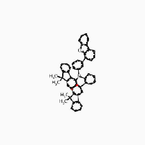 CC1(C)c2ccccc2-c2cc(-c3ccccc3N(c3cccc(-c4cccc5c4oc4ccccc45)c3)c3cccc4c3-c3ccccc3C4(C)C)ccc21